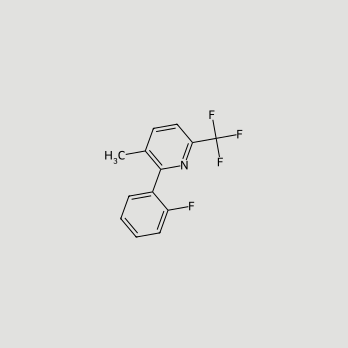 Cc1ccc(C(F)(F)F)nc1-c1ccccc1F